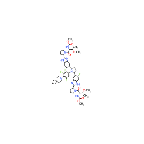 COC(=O)N[C@H](C(=O)N1CCC[C@H]1c1nc2cc([C@@H]3CC[C@@H](c4cc5nc([C@@H]6CCCN6C(=O)[C@@H](NC(=O)OC)[C@@H](C)OC)[nH]c5cc4F)N3c3cc(F)c(N4CC[Si]5(CCC5)CC4)c(F)c3)c(F)cc2[nH]1)[C@@H](C)OC